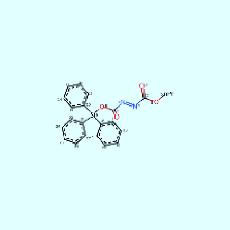 CCCOC(=O)/N=N/C(=O)O[Si](c1ccccc1)(c1ccccc1)c1ccccc1